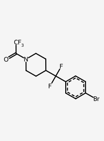 O=C(N1CCC(C(F)(F)c2ccc(Br)cc2)CC1)C(F)(F)F